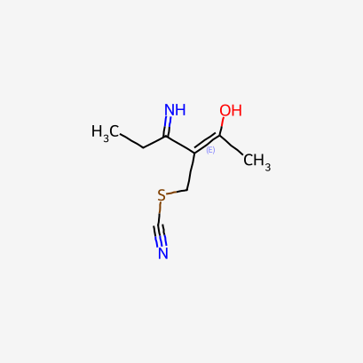 CCC(=N)/C(CSC#N)=C(/C)O